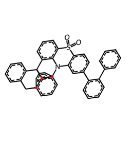 O=S1(=O)c2ccc(-c3ccccc3-c3ccccc3)cc2N2c3cccc4c3C3(c5ccccc5C4c4ccccc43)c3cccc1c32